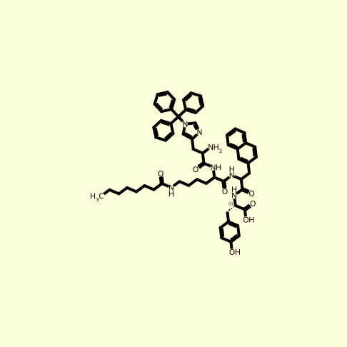 CCCCCCCC(=O)NCCCCC(NC(=O)C(N)Cc1cn(C(c2ccccc2)(c2ccccc2)c2ccccc2)cn1)C(=O)NC(Cc1ccc2ccccc2c1)C(=O)N[C@@H](Cc1ccc(O)cc1)C(=O)O